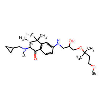 CCN(CC1CC1)C1C(=O)c2ccc(NCC(O)COC(C)(C)CCOC(C)(C)C)cc2C(C)(C)[C@H]1C